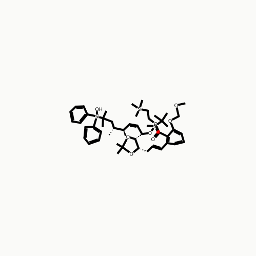 COCOc1cccc(/C=C/C[C@@H]2OC(C)(C)O[C@@H]2C(/C=C\[C@@H](C)[C@H](C)CC(C)(C)[Si](O)(c2ccccc2)c2ccccc2)O[Si](C)(C)C(C)(C)C)c1C(=O)OCC[Si](C)(C)C